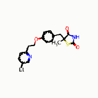 CCc1ccc(CCOc2ccc(CC3(C)SC(=O)NC3=O)cc2)nc1